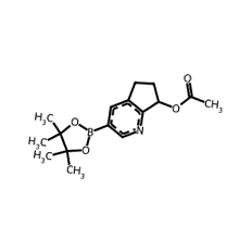 CC(=O)OC1CCc2cc(B3OC(C)(C)C(C)(C)O3)cnc21